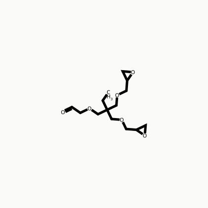 CCC(COCC=O)(COCC1CO1)COCC1CO1